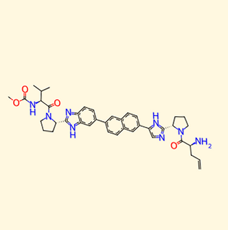 C=CC[C@H](N)C(=O)N1CCC[C@H]1c1ncc(-c2ccc3cc(-c4ccc5nc([C@@H]6CCCN6C(=O)[C@@H](NC(=O)OC)C(C)C)[nH]c5c4)ccc3c2)[nH]1